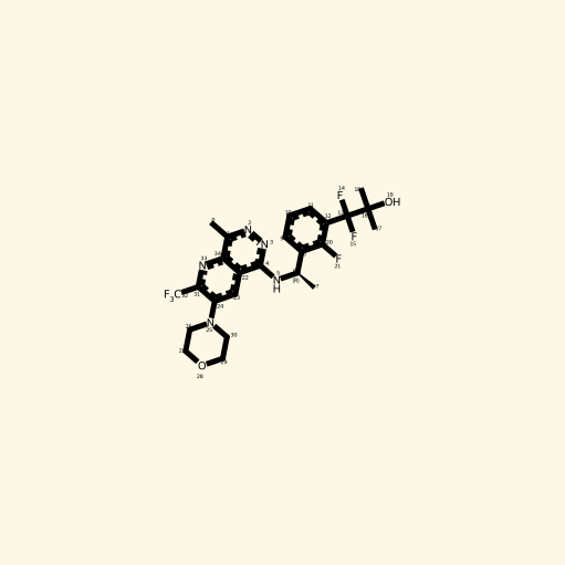 Cc1nnc(N[C@H](C)c2cccc(C(F)(F)C(C)(C)O)c2F)c2cc(N3CCOCC3)c(C(F)(F)F)nc12